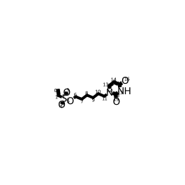 C=CS(=O)(=O)OCCCCCCn1ccc(=O)[nH]c1=O